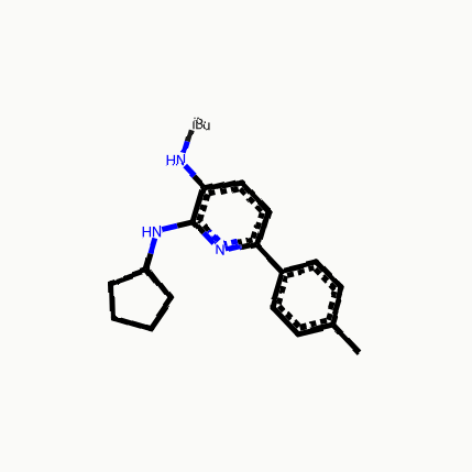 CCC(C)Nc1ccc(-c2ccc(C)cc2)nc1NC1CCCC1